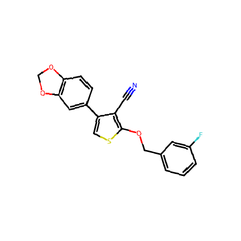 N#Cc1c(-c2ccc3c(c2)OCO3)csc1OCc1cccc(F)c1